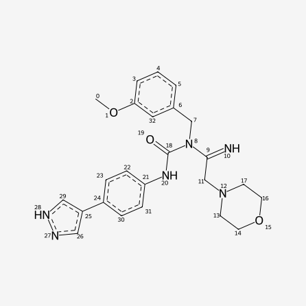 COc1cccc(CN(C(=N)CN2CCOCC2)C(=O)Nc2ccc(-c3cn[nH]c3)cc2)c1